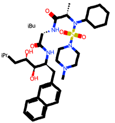 CC[C@H](C)[C@H](NC(=O)[C@H](C)N(C1CCCCC1)S(=O)(=O)N1CCN(C)CC1)C(=O)N[C@@H](Cc1ccc2ccccc2c1)[C@@H](O)[C@@H](O)CC(C)C